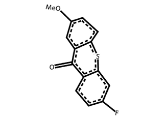 COc1ccc2sc3cc(F)ccc3c(=O)c2c1